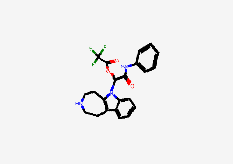 O=C(Nc1ccccc1)C(OC(=O)C(F)(F)F)n1c2c(c3ccccc31)CCNCC2